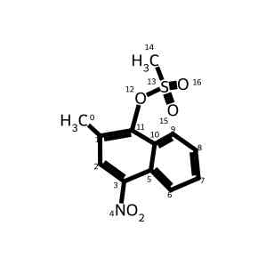 Cc1cc([N+](=O)[O-])c2ccccc2c1OS(C)(=O)=O